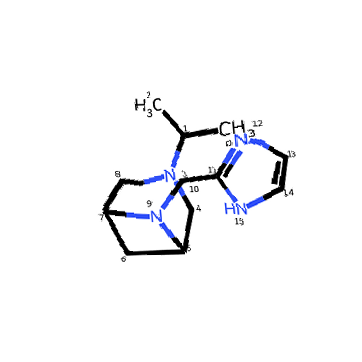 CC(C)N1CC2CC(C1)N2Cc1ncc[nH]1